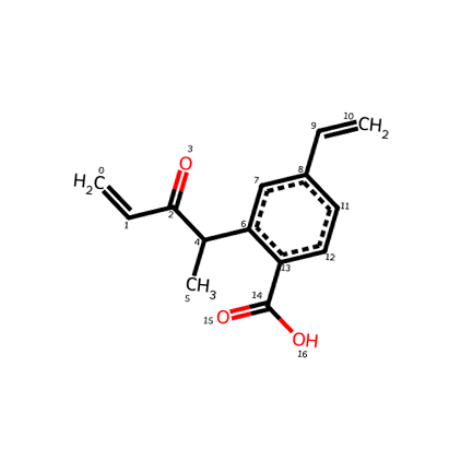 C=CC(=O)C(C)c1cc(C=C)ccc1C(=O)O